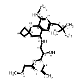 C=CC[C@H](NC(=O)COC)[C@H](O)CNC1CC2(CCC2)Oc2c1cc(CC(C)(C)C)nc2NC